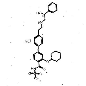 CS(=O)(=O)NC(=O)c1ccc(-c2ccc(CCNC[C@@H](O)c3ccccc3)cc2)cc1OC1CCCCC1.Cl